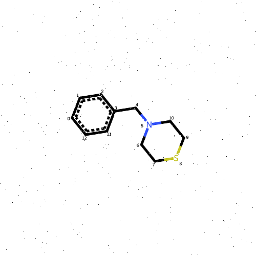 c1ccc(CN2CCSCC2)cc1